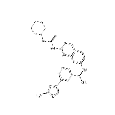 CC(Nc1ccc2cnc(NC(=O)NC3CCCCC3)nc2c1)c1cncc(-c2cnn(C)c2)c1